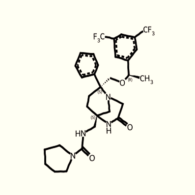 C[C@@H](OC[C@@]1(c2ccccc2)CC[C@]2(CNC(=O)N3CCCCC3)CN1CC(=O)N2)c1cc(C(F)(F)F)cc(C(F)(F)F)c1